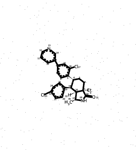 CC[C@@]12CC[C@@H](c3ccc(-c4cccnc4)cc3Cl)[C@H](c3ccc(Cl)cc3)[C@@H]1[C@@H](C)NC2=O